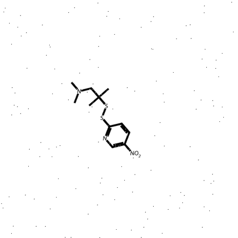 CN(C)CC(C)(C)SSc1ccc([N+](=O)[O-])cn1